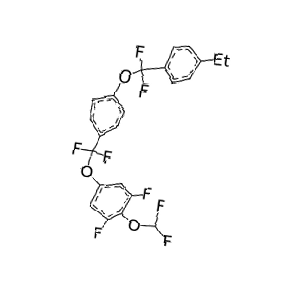 CCc1ccc(C(F)(F)Oc2ccc(C(F)(F)Oc3cc(F)c(OC(F)F)c(F)c3)cc2)cc1